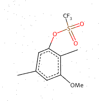 COc1cc(C)cc(OS(=O)(=O)C(F)(F)F)c1C